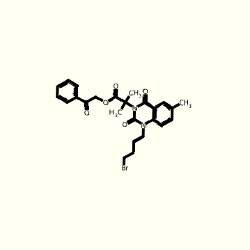 Cc1ccc2c(c1)c(=O)n(C(C)(C)C(=O)OCC(=O)c1ccccc1)c(=O)n2CCCCBr